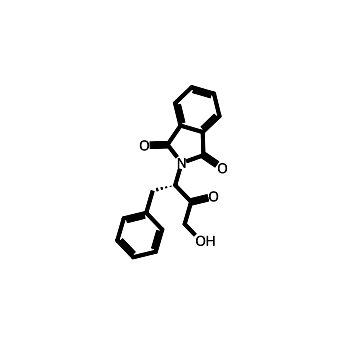 O=C(CO)[C@H](Cc1ccccc1)N1C(=O)c2ccccc2C1=O